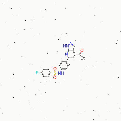 CCC(=O)c1cc(-c2ccc(NS(=O)(=O)c3ccc(F)cc3)cc2)nc2[nH]ncc12